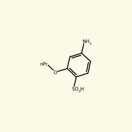 CCCOc1cc(N)ccc1S(=O)(=O)O